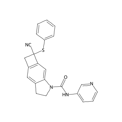 N#CC1(Sc2ccccc2)Cc2cc3c(cc21)N(C(=O)Nc1cccnc1)CC3